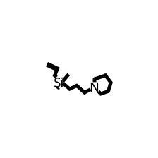 C=CC[Si](C)(C)CCCN1CCCCC1